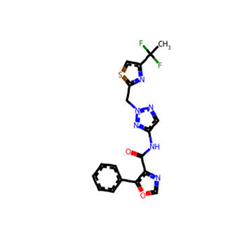 CC(F)(F)c1csc(Cn2ncc(NC(=O)c3ncoc3-c3ccccc3)n2)n1